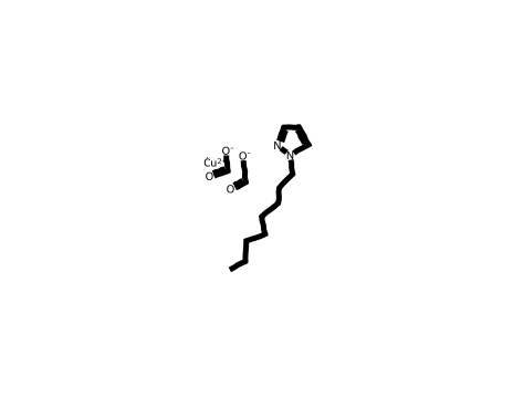 CCCCCCCCn1cccn1.O=C[O-].O=C[O-].[Cu+2]